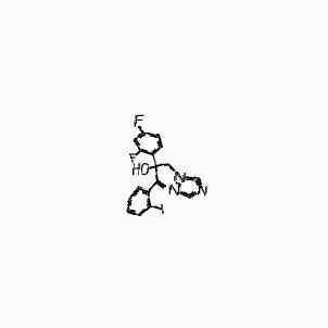 C=C(c1ccccc1I)C(O)(Cn1cncn1)c1ccc(F)cc1F